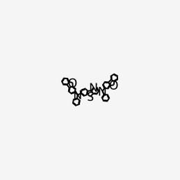 c1ccc(N(c2ccc3c(c2)oc2ccccc23)c2ccc3c(c2)sc2cc(N(c4ccccc4)c4ccc5c(c4)oc4ccccc45)cnc23)cc1